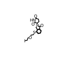 O=C1CCC(N2Cc3c(SCCOCCI)cccc3C2=O)C(=O)N1